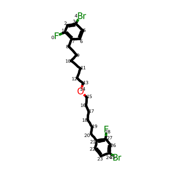 Fc1cc(Br)ccc1CCCCCCOCCCCCCc1ccc(Br)cc1F